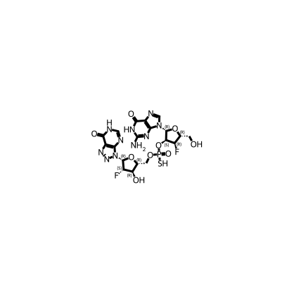 Nc1nc2c(ncn2[C@@H]2O[C@H](CO)[C@@H](F)[C@H]2OP(=O)(S)OC[C@H]2O[C@@H](n3nnc4c(=O)[nH]cnc43)[C@@H](F)[C@@H]2O)c(=O)[nH]1